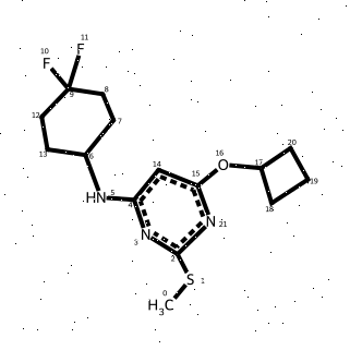 CSc1nc(NC2CCC(F)(F)CC2)cc(OC2C[CH]C2)n1